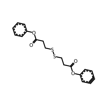 O=C(CCSSCCC(=O)Oc1ccccc1)Oc1cc#ccc1